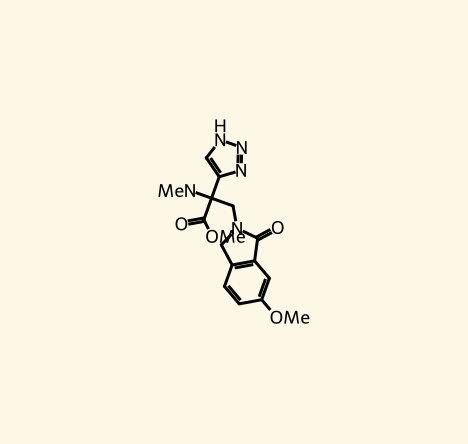 CNC(CN1Cc2ccc(OC)cc2C1=O)(C(=O)OC)c1c[nH]nn1